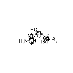 CC(C)(C)[Si](C)(C)OC[C@H]1C[C@H](O)[C@H](n2cnc3c(N)ncnc32)O1